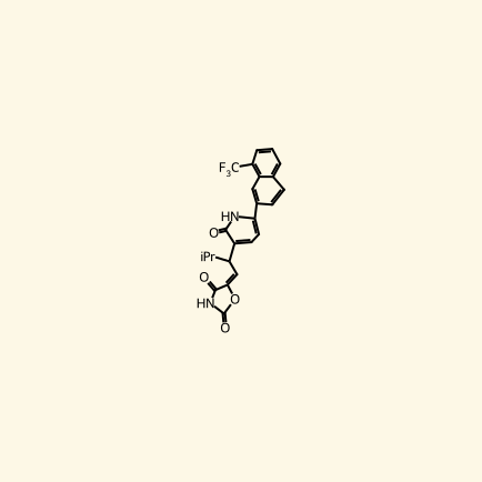 CC(C)C(C=C1OC(=O)NC1=O)c1ccc(-c2ccc3cccc(C(F)(F)F)c3c2)[nH]c1=O